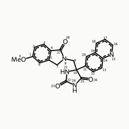 COc1ccc2c(c1)CN(CC1(c3ccc4ncccc4c3)NC(=O)NC1=O)C2=O